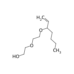 C=CC(CCCC)OCCOCCO